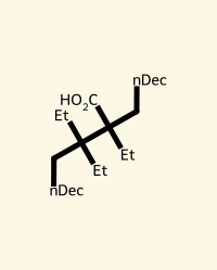 CCCCCCCCCCCC(CC)(CC)C(CC)(CCCCCCCCCCC)C(=O)O